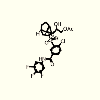 CC(=O)OC[C@H](O)[C@@H](O)[C@@]1(O)C2CC[C@H]1C[C@H](S(=O)(=O)c1cc(C(=O)Nc3cc(F)c(F)c(F)c3)ccc1Cl)C2